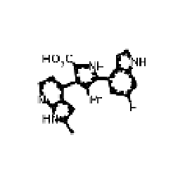 Cc1cc2c(-c3c(C(=O)O)[nH]c(-c4cc(F)cc5[nH]ccc45)c3C(C)C)ccnc2[nH]1